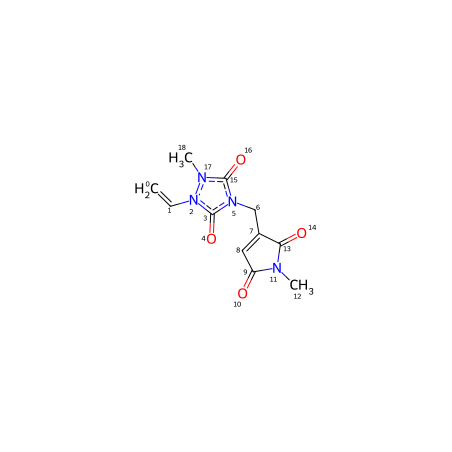 C=Cn1c(=O)n(CC2=CC(=O)N(C)C2=O)c(=O)n1C